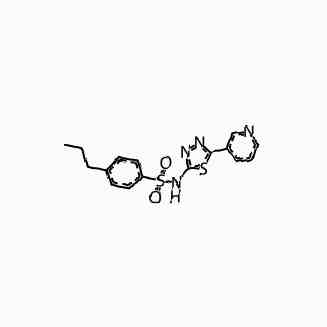 CCCc1ccc(S(=O)(=O)Nc2nnc(-c3cccnc3)s2)cc1